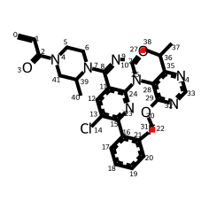 C=CC(=O)N1CCN(/C(=N/C)c2cc(Cl)c(-c3ccccc3F)nc2N(C=O)c2c(OC)ncnc2C(C)C)C(C)C1